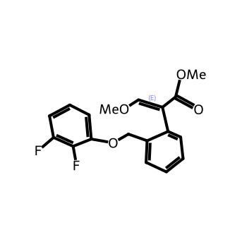 CO/C=C(/C(=O)OC)c1ccccc1COc1cccc(F)c1F